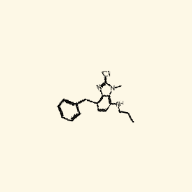 CCCNc1ccc(Cc2ccccc2)c2nc(Cl)n(C)c12